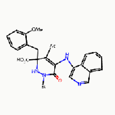 CCN1NC(Cc2ccccc2OC)(C(=O)O)C(C(C)=O)=C(Nc2cncc3ccccc23)C1=O